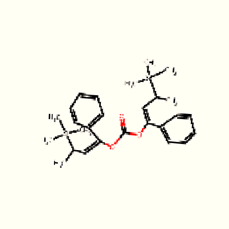 CC(C=C(OC(=O)OC(=CC(C)[Si](C)(C)C)c1ccccc1)c1ccccc1)[Si](C)(C)C